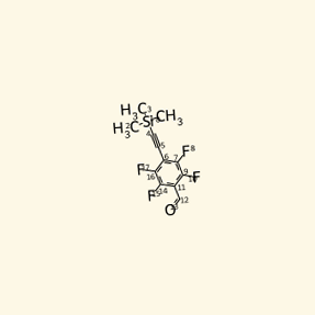 C[Si](C)(C)C#Cc1c(F)c(F)c(C=O)c(F)c1F